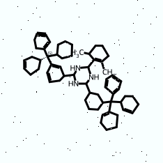 CC1=C(C2NC(C3C=C([C@](C4=CC#CCC4)(C4CC=CCC4)C4CCCCC4)C=CC3)NC(C3CCCC(C(C4=CCCCC4)(c4ccccc4)C4C=CCCC4)C3)N2)C(C)CCC1